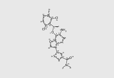 C[C@@H](Oc1c(N)ncc2c(-c3cc(C(=O)N(C)C)cs3)coc12)c1c(Cl)ccc(F)c1Cl